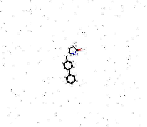 C[C@H]1C[C@@H](Cc2ccc(-c3ccccc3)cc2)NC1=O